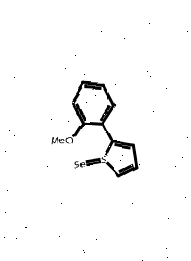 COc1ccccc1C1=CC=CS1=[Se]